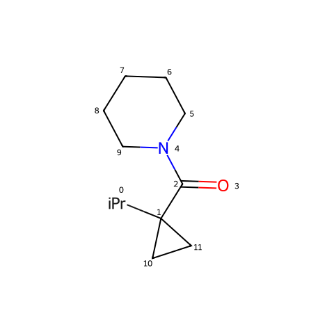 CC(C)C1(C(=O)N2CCCCC2)CC1